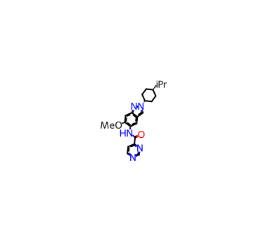 COc1cc2nn([C@H]3CC[C@H](C(C)C)CC3)cc2cc1NC(=O)c1ccncn1